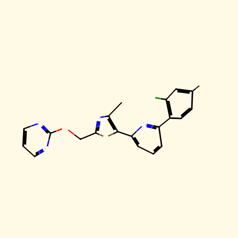 Cc1nc(COc2ncccn2)sc1-c1cccc(-c2ccc(C(=O)O)cc2F)n1